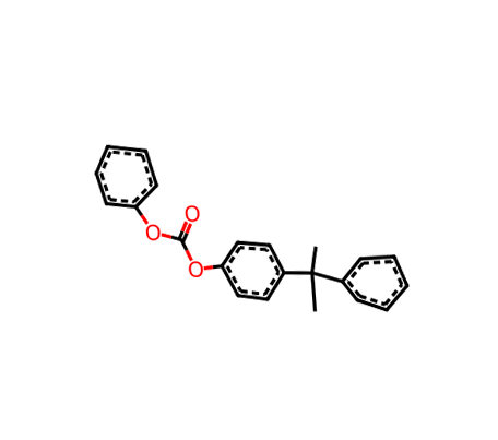 CC(C)(c1ccccc1)c1ccc(OC(=O)Oc2ccccc2)cc1